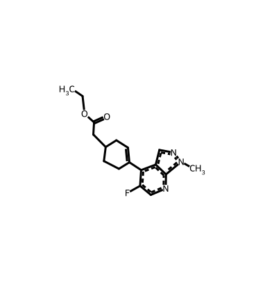 CCOC(=O)CC1CC=C(c2c(F)cnc3c2cnn3C)CC1